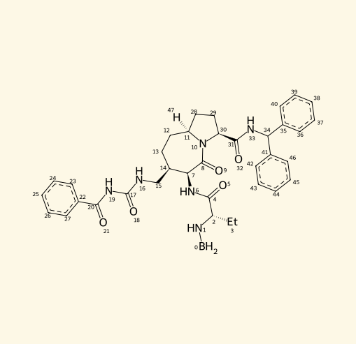 BN[C@@H](CC)C(=O)N[C@@H]1C(=O)N2[C@@H](CC[C@@H]1CNC(=O)NC(=O)c1ccccc1)CC[C@H]2C(=O)NC(c1ccccc1)c1ccccc1